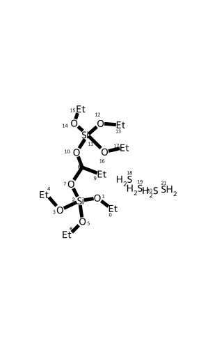 CCO[Si](OCC)(OCC)OC(CC)O[Si](OCC)(OCC)OCC.S.S.S.S